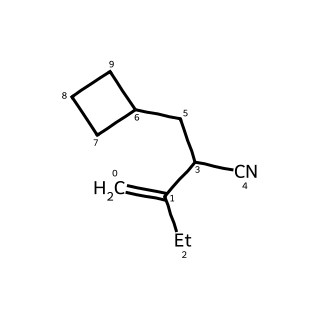 C=C(CC)C(C#N)CC1CCC1